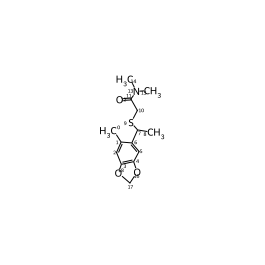 Cc1cc2c(cc1C(C)SCC(=O)N(C)C)OCO2